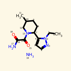 CCn1nccc1C1CCC(C)CN1C(=O)C(N)=O.N